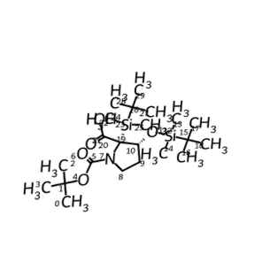 CC(C)(C)OC(=O)N1CC[C@@H](O[Si](C)(C)C(C)(C)C)[C@@]1(C(=O)O)[Si](C)(C)C(C)(C)C